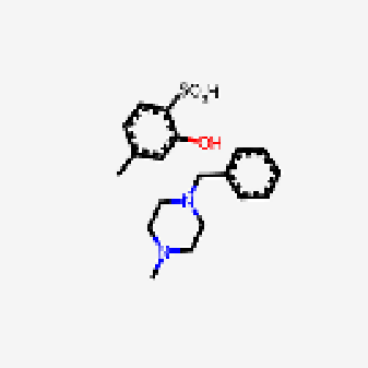 CN1CCN(Cc2ccccc2)CC1.Cc1ccc(S(=O)(=O)O)c(O)c1